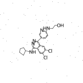 OCCNc1ccc(-c2nnc(NC3CCCC3)c3cc(Cl)c(Cl)cc23)cn1